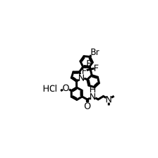 COc1ccc(C(=O)NCCN(C)C)cc1-c1ccc(-c2ccc(Br)cc2)n1-c1ccccc1C(F)(F)F.Cl